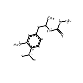 COc1cc(CC(NC(=O)OC(C)(C)C)OC)ccc1N(C)C